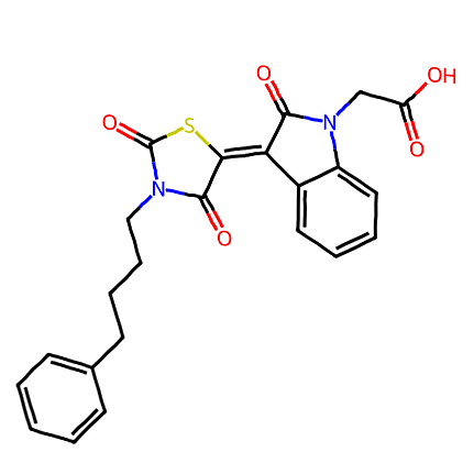 O=C(O)CN1C(=O)/C(=C2\SC(=O)N(CCCCc3ccccc3)C2=O)c2ccccc21